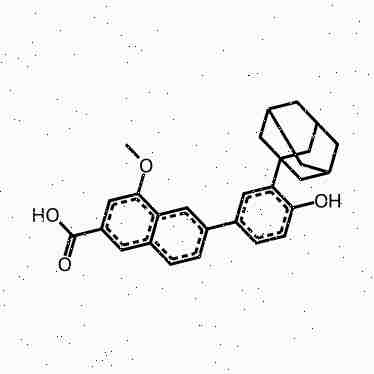 COc1cc(C(=O)O)cc2ccc(-c3ccc(O)c(C45CC6CC(CC(C6)C4)C5)c3)cc12